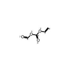 C=COC(=O)OC=O